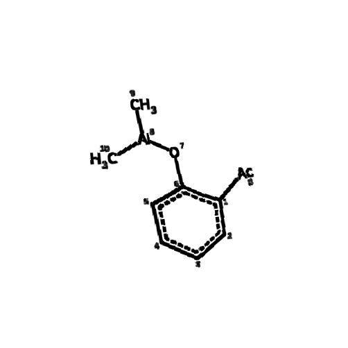 CC(=O)c1ccccc1[O][Al]([CH3])[CH3]